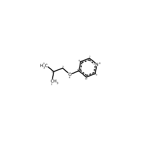 CC(C)COc1ccncc1